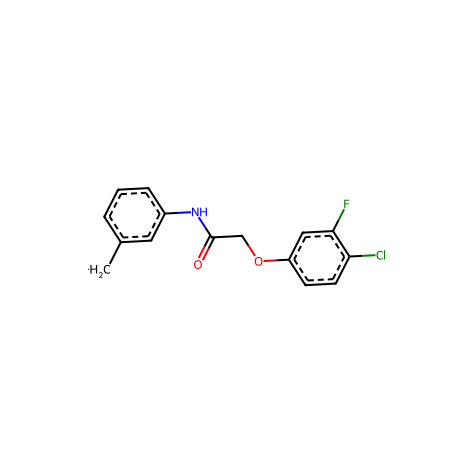 [CH2]c1cccc(NC(=O)COc2ccc(Cl)c(F)c2)c1